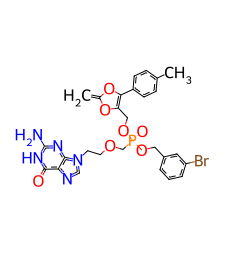 C=C1OC(COP(=O)(COCCn2cnc3c(=O)[nH]c(N)nc32)OCc2cccc(Br)c2)=C(c2ccc(C)cc2)O1